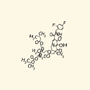 C=P(CCOC1Cn2cc(C(=O)NCc3ccc(F)cc3F)c(=O)c(O)c2C(=O)C1(C)CCOC)(OCOC(=O)CC(C)C)OCOC(=O)OC(C)C